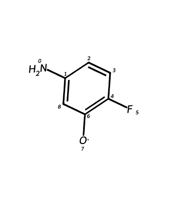 Nc1ccc(F)c([O])c1